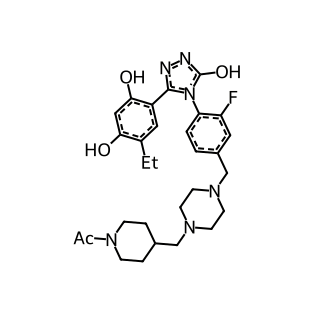 CCc1cc(-c2nnc(O)n2-c2ccc(CN3CCN(CC4CCN(C(C)=O)CC4)CC3)cc2F)c(O)cc1O